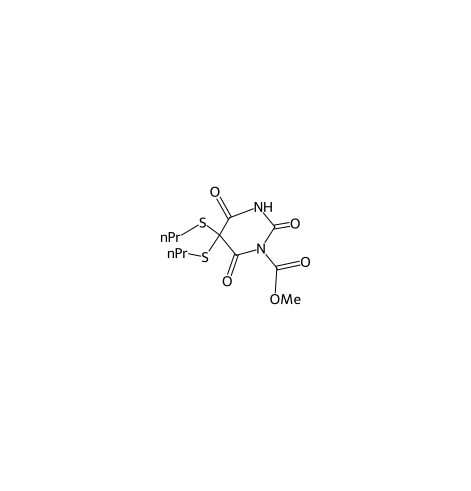 CCCSC1(SCCC)C(=O)NC(=O)N(C(=O)OC)C1=O